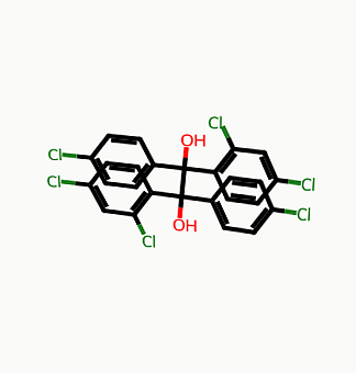 OC(c1ccc(Cl)cc1)(c1ccc(Cl)cc1Cl)C(O)(c1ccc(Cl)cc1)c1ccc(Cl)cc1Cl